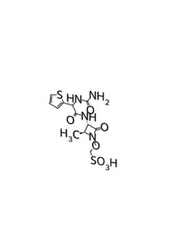 C[C@H]1[C@H](NC(=O)C(NC(N)=O)c2cccs2)C(=O)N1OCS(=O)(=O)O